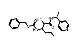 CCCC(NC(=O)OCc1ccccc1)C(O)C(=O)N[C@@H](C)c1ccncc1